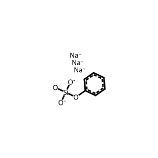 [Na+].[Na+].[Na+].[O-][Si]([O-])([O-])Oc1ccccc1